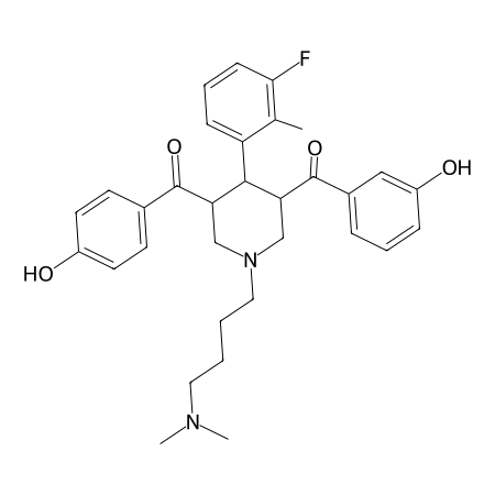 Cc1c(F)cccc1C1C(C(=O)c2ccc(O)cc2)CN(CCCCN(C)C)CC1C(=O)c1cccc(O)c1